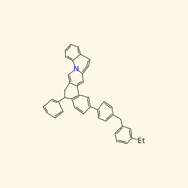 CCc1cccc(Cc2ccc(-c3ccc4c(c3)C3=CC5=C=Cc6ccccc6N5C=C3CC4c3ccccc3)cc2)c1